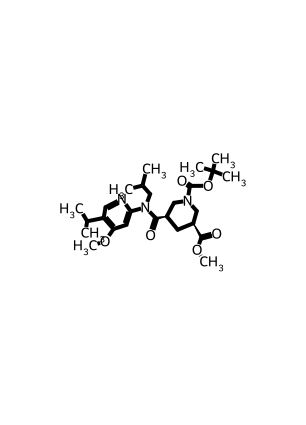 COC(=O)[C@H]1C[C@@H](C(=O)N(CC(C)C)c2cc(OC)c(C(C)C)cn2)CN(C(=O)OC(C)(C)C)C1